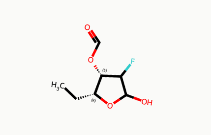 CC[C@H]1OC(O)C(F)[C@H]1OC=O